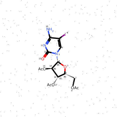 CC(=O)OC[C@H]1O[C@@H](n2cc(I)c(N)nc2=O)[C@H](OC(C)=O)[C@H]1OC(C)=O